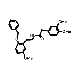 COc1ccc(OCc2ccccc2)c(CCNC(=O)Cc2ccc(OC)c(OC)c2)c1